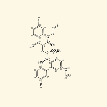 C=CCOC(=O)C(CC(C(=O)OCC)[C@H](Nc1ccc(F)cc1)c1ccc(OCCCC)cc1)C(=O)c1ccc(F)cc1